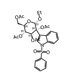 CCO[C@H]1O[C@H](COC(C)=O)[C@@H](OC(C)=O)[C@H](OC(C)=O)[C@]1(OC(C)=O)c1cn(S(=O)(=O)c2ccccc2)c2ccccc12